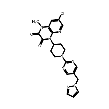 Cn1c(=O)c(=O)n(C2CCN(c3ncc(Cn4cccn4)cn3)CC2)c2ncc(Cl)cc21